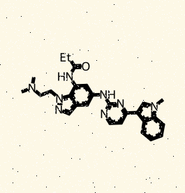 CCC(=O)Nc1cc(Nc2nccc(-c3cn(C)c4ccccc34)n2)cc2cnn(CCN(C)C)c12